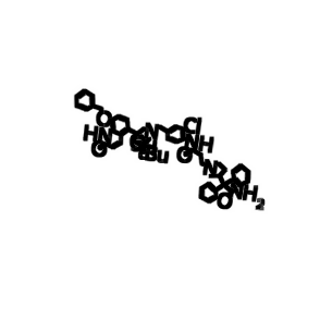 CC(C)(C)[Si](C)(C)OC(CNCc1ccc(NC(=O)CCN2CCC(C(C(N)=O)(c3ccccc3)c3ccccc3)C2)c(Cl)c1)c1ccc(OCc2ccccc2)c2[nH]c(=O)ccc12